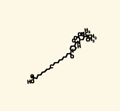 CC(C)(C)C(=O)C[C@@H](NC(=O)C1CCN(C(=O)CCCCCCCCCCCCCCCCC(=O)O)CC1)C(=O)O